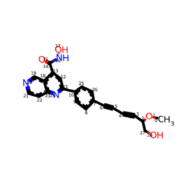 COC(C#CC#Cc1ccc(-c2cc(C(=O)NO)c3cnccc3n2)cc1)CO